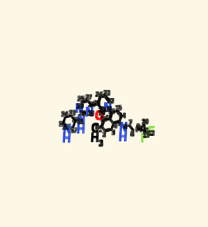 Cc1ccc2c(NCC[C@@H]3CC3(F)F)cccc2c1Oc1ncccc1-c1ccnc(NC2CCCNC2)n1